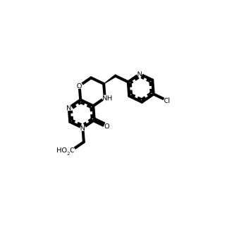 O=C(O)Cn1cnc2c(c1=O)N[C@H](Cc1ccc(Cl)cn1)CO2